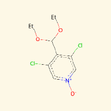 CCOC(OCC)c1c(Cl)c[n+]([O-])cc1Cl